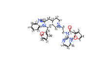 O=C(c1ccco1)N(CCN1CCC(Cc2nc3ccccc3n2Cc2ccco2)CC1)c1ncccn1